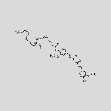 CC/C=C\C/C=C\C/C=C\[C@@H](/C=C\C/C=C\CCCC(=O)Oc1ccc(/C=C/C(=O)CC(=O)/C=C/c2ccc(O)c(OC)c2)cc1OC)OI